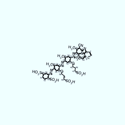 C/C=C\c1nc2c(C#N)c(C)c(N=Nc3cc(C)c(N=Nc4cc(C)c(N=Nc5cc(S(=O)(=O)O)ccc5S(=O)(=O)O)cc4OCCCS(=O)(=O)O)cc3OCCCS(=O)(=O)O)c(O)n2c1/C=C\C